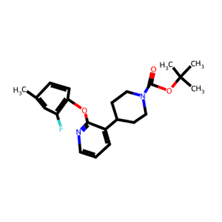 Cc1ccc(Oc2ncccc2C2CCN(C(=O)OC(C)(C)C)CC2)c(F)c1